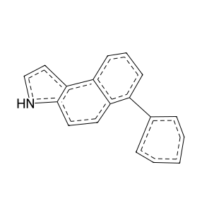 c1ccc(-c2cccc3c2ccc2[nH]ccc23)cc1